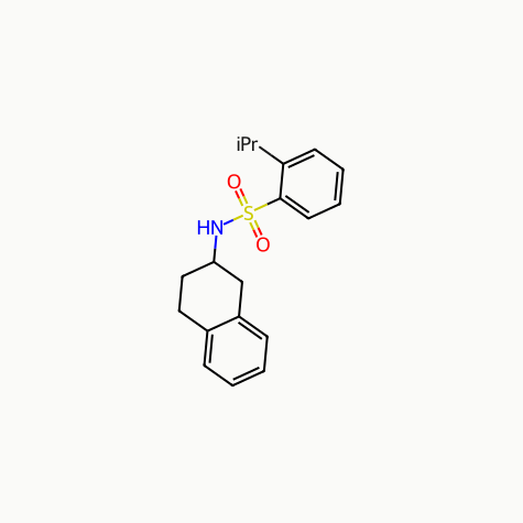 CC(C)c1ccccc1S(=O)(=O)NC1CCc2ccccc2C1